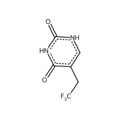 O=c1[nH]cc(CC(F)(F)F)c(=O)[nH]1